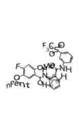 CCCCCOc1cc(C(=O)N[C@H]2[C@@H](C(=O)Nc3cccc(S(=O)(=O)C(F)(F)F)c3)[C@@H]3C=C[C@H]2C3)c(OC)cc1F